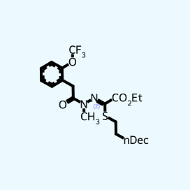 CCCCCCCCCCCCS/C(=N\N(C)C(=O)Cc1ccccc1OC(F)(F)F)C(=O)OCC